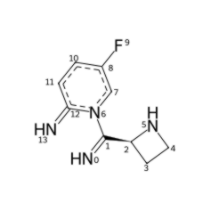 N=C([C@@H]1CCN1)n1cc(F)ccc1=N